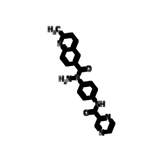 Cc1ccc2cc(C(=O)N(N)c3ccc(NC(=O)c4cnccn4)cc3)ccc2n1